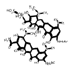 CCN(CC)c1cc(NC(C)=O)c(O)c2c1CC1CC3[C@H](N(C)C)C(O)=C(C(N)=O)C(=O)C3(O)C(O)=C1C2=O.CCN(CC)c1cc(NC(C)=O)c(O)c2c1CC1CC3[C@H](N(C)C)C(O)=C(C(N)=O)C(=O)C3(O)C(O)=C1C2=O.O=S(=O)(O)O